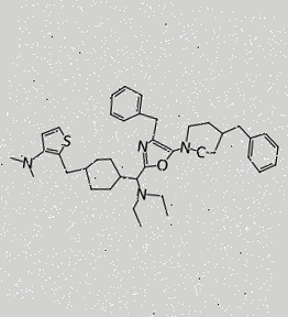 CCN(CC)C(c1nc(Cc2ccccc2)c(N2CCC(Cc3ccccc3)CC2)o1)C1CCC(Cc2sccc2N(C)C)CC1